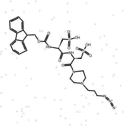 [N-]=[N+]=NCCCN1CCN(C(=O)[C@H](CS(=O)(=O)O)NC(=O)[C@H](CS(=O)(=O)O)NC(=O)OCC2c3ccccc3-c3ccccc32)CC1